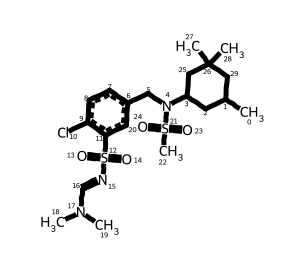 CC1CC(N(Cc2ccc(Cl)c(S(=O)(=O)/N=C/N(C)C)c2)S(C)(=O)=O)CC(C)(C)C1